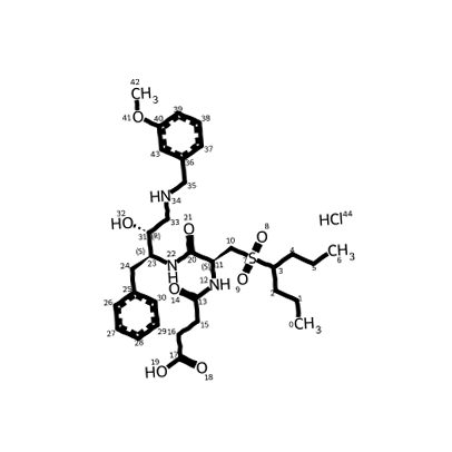 CCCC(CCC)S(=O)(=O)C[C@@H](NC(=O)CCC(=O)O)C(=O)N[C@@H](Cc1ccccc1)[C@H](O)CNCc1cccc(OC)c1.Cl